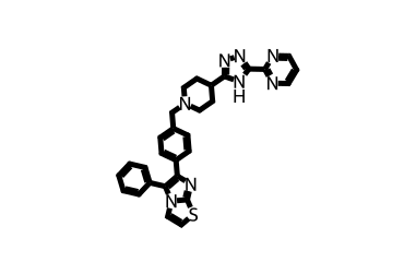 c1ccc(-c2c(-c3ccc(CN4CCC(c5nnc(-c6ncccn6)[nH]5)CC4)cc3)nc3sccn23)cc1